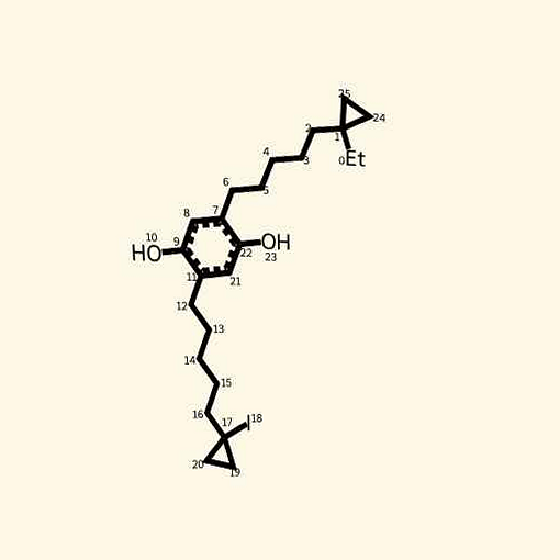 CCC1(CCCCCc2cc(O)c(CCCCCC3(I)CC3)cc2O)CC1